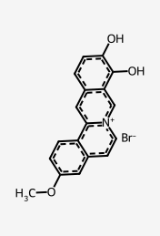 COc1ccc2c(cc[n+]3cc4c(O)c(O)ccc4cc23)c1.[Br-]